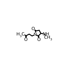 CNC1CC(=O)N(CCC(C)=O)C1=O